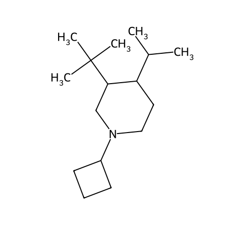 CC(C)C1CCN(C2CCC2)CC1C(C)(C)C